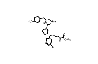 CNC[C@H](CC1CCC(C)CC1)NC(=O)N1CCC[C@@H](C(OCCNC(=O)OC)c2cccc(Cl)c2)C1